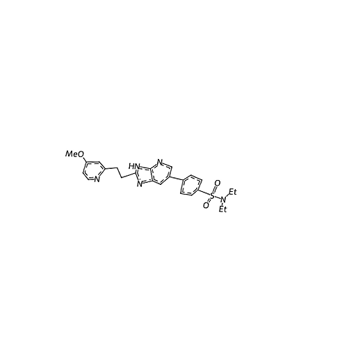 CCN(CC)S(=O)(=O)c1ccc(-c2cnc3[nH]c(CCc4cc(OC)ccn4)nc3c2)cc1